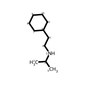 CC(C)NCCC1CCCCC1